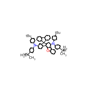 C[SiH](C)c1ccc(N(c2ccc(C(C)(C)C)cc2)c2ccc3c(c2)C2(c4ccccc4-c4ccccc42)c2cc(N(c4ccc([SiH](C)C)cc4)c4ccc(C(C)(C)C)cc4)c4c(oc5ccccc54)c2-3)cc1